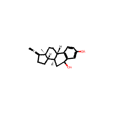 C=C=C1CC[C@H]2[C@@H]3CC(O)c4cc(O)ccc4[C@H]3CC[C@]12C